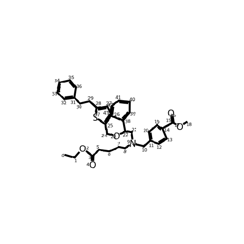 CCOC(=O)CCCCN(Cc1ccc(C(=O)OC)cc1)CC(OCc1ccc(CCc2ccccc2)s1)c1ccccc1